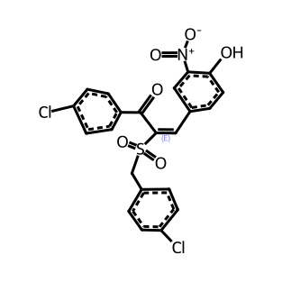 O=C(/C(=C\c1ccc(O)c([N+](=O)[O-])c1)S(=O)(=O)Cc1ccc(Cl)cc1)c1ccc(Cl)cc1